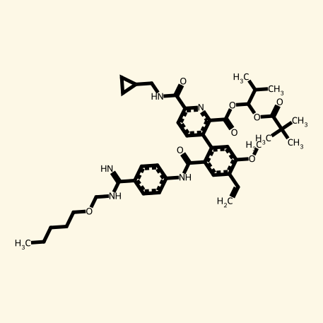 C=Cc1cc(C(=O)Nc2ccc(C(=N)NCOCCCCC)cc2)c(-c2ccc(C(=O)NCC3CC3)nc2C(=O)OC(OC(=O)C(C)(C)C)C(C)C)cc1OC